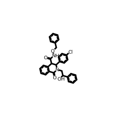 O=C(NOCc1ccccc1)C1c2ccccc2C(=O)N(CC(O)c2ccccc2)C1c1ccc(Cl)cc1